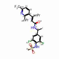 CCC/C(=C\C(=O)NC(C)c1cc(F)c(NS(C)(=O)=O)c(F)c1)c1ccc(C(F)(F)F)nc1CCC